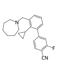 N#Cc1ccc(-c2cccc(CN3CCCCCC3)c2C2CC2)cc1F